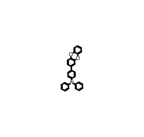 c1ccc(N(c2ccccc2)c2ccc(-c3ccc4c(c3)Oc3ccccc3O4)cc2)cc1